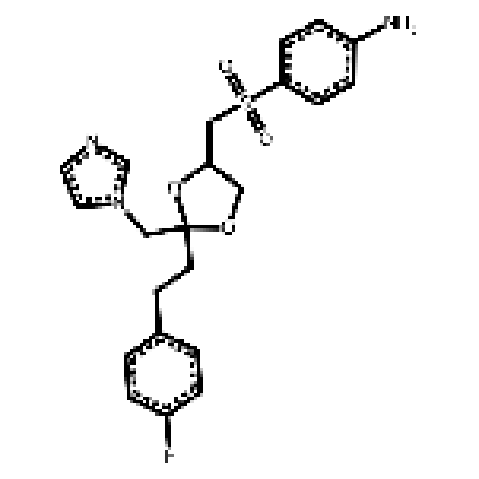 Nc1ccc(S(=O)(=O)CC2COC(CCc3ccc(F)cc3)(Cn3ccnc3)O2)cc1